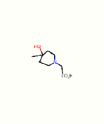 CC1(O)CCN(CC(=O)O)CC1